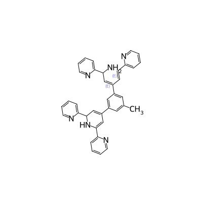 Cc1cc(C2=CC(c3ccccn3)NC(c3ccccn3)=C2)cc(C(/C=C/c2ccccn2)=C/C(N)c2ccccn2)c1